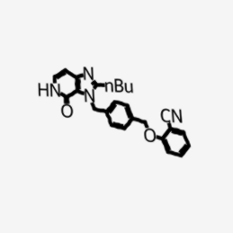 CCCCc1nc2cc[nH]c(=O)c2n1Cc1ccc(COc2ccccc2C#N)cc1